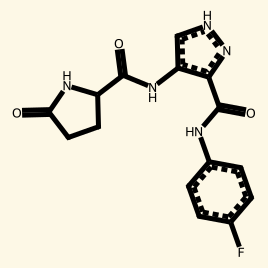 O=C1CCC(C(=O)Nc2c[nH]nc2C(=O)Nc2ccc(F)cc2)N1